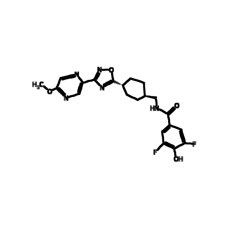 COc1cnc(-c2noc([C@H]3CC[C@H](CNC(=O)c4cc(F)c(O)c(F)c4)CC3)n2)cn1